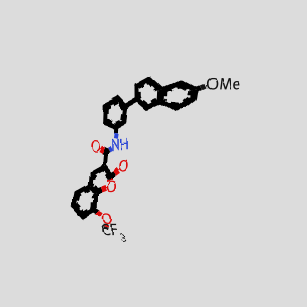 COc1ccc2cc(-c3cccc(NC(=O)c4cc5cccc(OC(F)(F)F)c5oc4=O)c3)ccc2c1